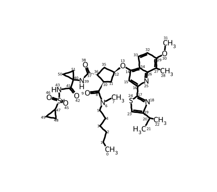 CCCCCCN(C)C(=O)[C@@H]1C[C@H](Oc2cc(-c3nc(C(C)C)cs3)nc3c(C)c(OC)ccc23)C[C@H]1C(=O)NC1(C(=O)NS(=O)(=O)C2CC2)CC1